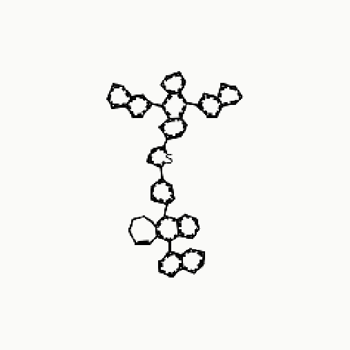 C1=Cc2c(c(-c3ccc(-c4ccc(-c5ccc6c(-c7ccc8ccccc8c7)c7ccccc7c(-c7ccc8ccccc8c7)c6c5)s4)cc3)c3ccccc3c2-c2cccc3ccccc23)CCC1